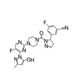 Cc1cc(O)n(-c2nc(N3CCN(C(=O)N4N=CCC4c4cc(F)cc(C#N)c4)CC3)ncc2F)n1